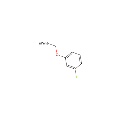 CCCCCCOc1cccc(F)c1